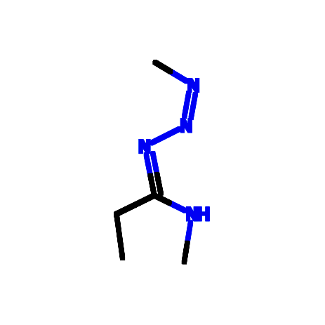 CC/C(=N/N=N\C)NC